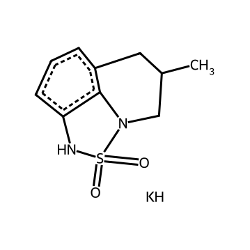 CC1Cc2cccc3c2N(C1)S(=O)(=O)N3.[KH]